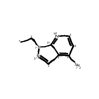 CCn1ncc2c(N)ccnc21